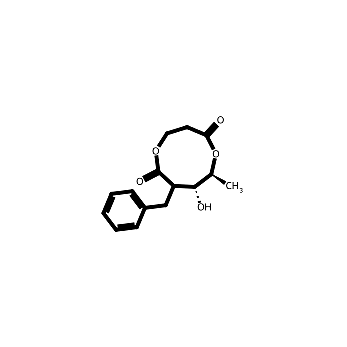 C[C@@H]1OC(=O)CCOC(=O)C(Cc2ccccc2)[C@H]1O